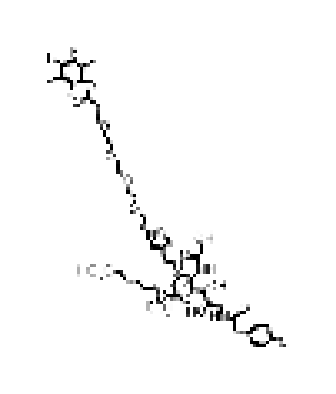 O=C(O)CCCCCO[C@]1(C(=O)O)C[C@H](OCc2cn(CCOCCOCCOCCOCCC(=O)Oc3c(F)c(F)c(F)c(F)c3F)nn2)[C@@H](NC(=O)CO)[C@H]([C@H](O)[C@H](O)CNC(=O)Cc2ccc(Cl)cc2)O1